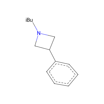 CCC(C)N1CC(c2ccccc2)C1